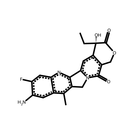 CC[C@@]1(O)C(=O)OCc2c1cc1n(c2=O)Cc2c-1nc1cc(F)c(N)cc1c2C